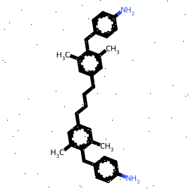 Cc1cc(CCCCc2cc(C)c(Cc3ccc(N)cc3)c(C)c2)cc(C)c1Cc1ccc(N)cc1